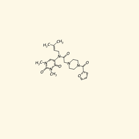 CC(C)=CCN(C(=O)CN1CCN(C(=O)c2ccco2)CC1)c1cn(C)c(=O)n(C)c1=O